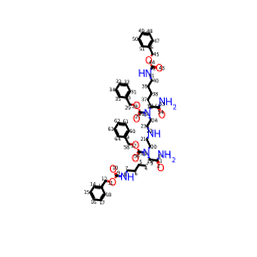 NC(=O)[C@H](CCCCNC(=O)OCc1ccccc1)N(CCNCCN(C(=O)OCc1ccccc1)[C@@H](CCCCNC(=O)OCc1ccccc1)C(N)=O)C(=O)OCc1ccccc1